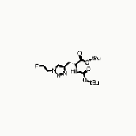 CC(C)(C)OC(=O)N[C@H](Cc1cn(CCF)nn1)C(=O)OC(C)(C)C